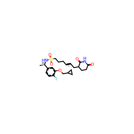 C[C@@H](NS(=O)(=O)CCC/C=C/CC1CCC(=O)NC1=O)c1ccc(F)c(OCC2CC2)c1